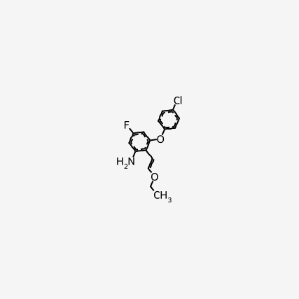 CCOC=Cc1c(N)cc(F)cc1Oc1ccc(Cl)cc1